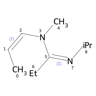 C/C=C\N(C)/C(CC)=N\C(C)C